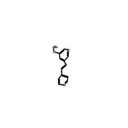 CCCCOc1cncc(C=Cc2ccncc2)c1